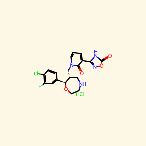 Cl.O=c1[nH]c(-c2cccn(C[C@@H]3CNCCO[C@H]3c3ccc(Cl)c(F)c3)c2=O)no1